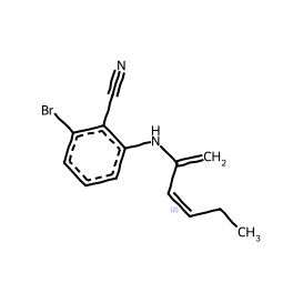 C=C(/C=C\CC)Nc1cccc(Br)c1C#N